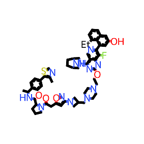 CCc1cccc2cc(O)cc(-c3ncc4c(N5CC6CCC(C5)N6)nc(OCCN5CCN(CC6CN(c7cc(CC(=O)N8CCCC8C(=O)NC(C)c8ccc(-c9scnc9C)cc8)on7)C6)CC5)nc4c3F)c12